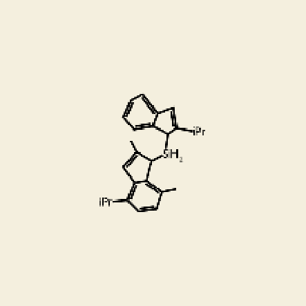 CC1=Cc2c(C(C)C)ccc(C)c2C1[SiH2]C1C(C(C)C)=Cc2ccccc21